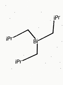 CC(C)[CH2][Bi]([CH2]C(C)C)[CH2]C(C)C